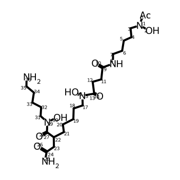 CC(=O)N(O)CCCCCNC(=O)CCC(=O)N(O)CCCCCC(CC(N)=O)C(=O)N(O)CCCCCN